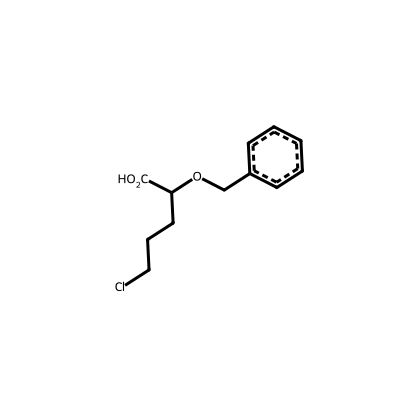 O=C(O)C(CCCCl)OCc1ccccc1